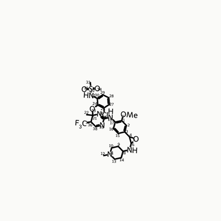 COc1cc(C2OC2NC2CCN(C)CC2)ccc1NC1=NC(C)(Oc2c(Cl)cccc2NS(C)(=O)=O)C(C(F)(F)F)C=N1